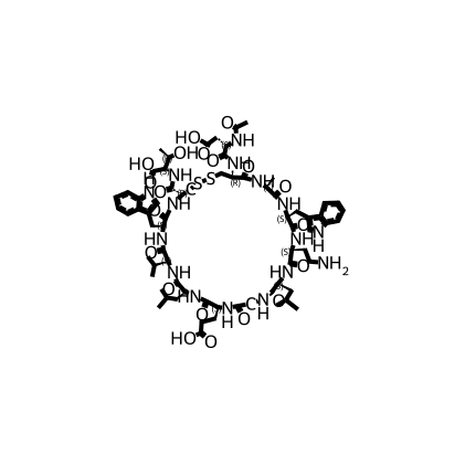 CC(=O)N[C@@H](CC(=O)O)C(=O)N[C@H]1CSSC[C@@H](C(=O)N[C@H](C(=O)O)[C@@H](C)O)NC(=O)[C@H](Cc2c[nH]c3ccccc23)NC(=O)[C@H](C(C)C)NC(=O)[C@H](CC(C)C)NC(=O)[C@H](CCC(=O)O)NC(=O)CNC(=O)[C@H](CC(C)C)NC(=O)[C@H](CCN)NC(=O)[C@H](Cc2c[nH]c3ccccc23)NC(=O)[C@H](C)NC1=O